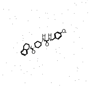 COc1ccc(CNC(=O)N[C@H]2CC[C@@H](C(=O)N3CCCc4ccccc43)CC2)cc1